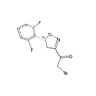 O=C(CBr)C1=NO[C@@H](c2c(F)cccc2F)C1